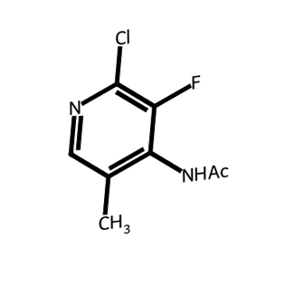 CC(=O)Nc1c(C)cnc(Cl)c1F